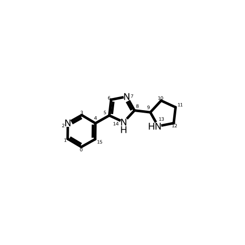 c1cncc(-c2cnc(C3CCCN3)[nH]2)c1